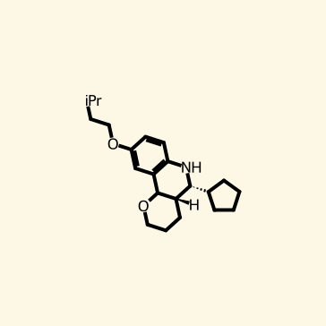 CC(C)CCOc1ccc2c(c1)C1OCCC[C@H]1[C@@H](C1CCCC1)N2